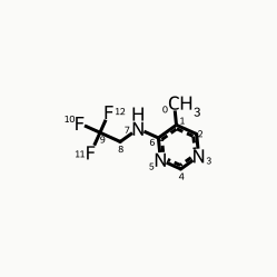 Cc1cncnc1NCC(F)(F)F